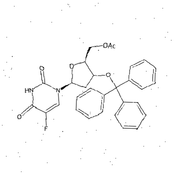 CC(=O)OC[C@@H]1O[C@H](n2cc(F)c(=O)[nH]c2=O)CC1OC(c1ccccc1)(c1ccccc1)c1ccccc1